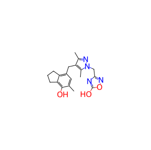 Cc1cc(Cc2c(C)nn(Cc3noc(O)n3)c2C)c2c(c1O)CCC2